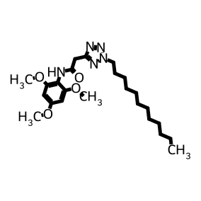 CCCCCCCCCCCCn1nnc(CC(=O)Nc2c(OC)cc(OC)cc2OC)n1